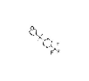 CC(C)(c1ccc(C(F)(F)F)cc1)c1ccoc1